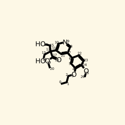 CCCOc1cc(-c2cncc(C(CO)(CO)C(=O)OC)c2)ccc1OC